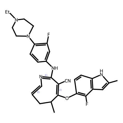 CCN1CCN(c2ccc(NC3=N/C=C/CC(C)/C(Oc4ccc5[nH]c(C)cc5c4F)=C\3C#N)cc2F)CC1